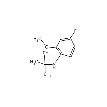 COc1cc(F)ccc1NC(C)(C)C